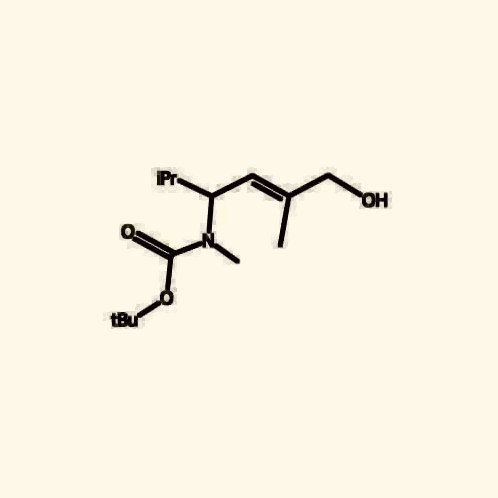 C/C(=C\C(C(C)C)N(C)C(=O)OC(C)(C)C)CO